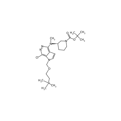 CN(c1nnc(Cl)c2c1ccn2COCC[Si](C)(C)C)[C@@H]1CCCN(C(=O)OC(C)(C)C)C1